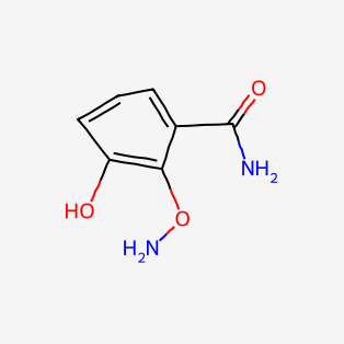 NOc1c(O)cccc1C(N)=O